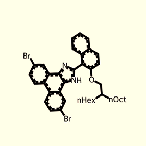 CCCCCCCCC(CCCCCC)COc1ccc2ccccc2c1-c1nc2c3cc(Br)ccc3c3ccc(Br)cc3c2[nH]1